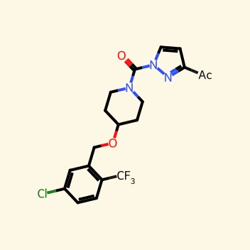 CC(=O)c1ccn(C(=O)N2CCC(OCc3cc(Cl)ccc3C(F)(F)F)CC2)n1